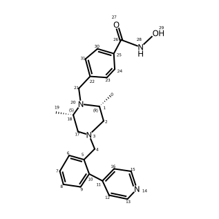 C[C@@H]1CN(Cc2ccccc2-c2ccncc2)C[C@H](C)N1Cc1ccc(C(=O)NO)cc1